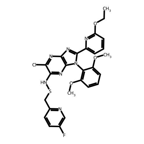 CCOc1cccc(-c2nc3nc(Cl)c(NSCc4ccc(F)cn4)nc3n2-c2c(OC)cccc2OC)n1